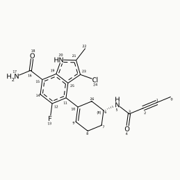 CC#CC(=O)N[C@@H]1CCC=C(c2c(F)cc(C(N)=O)c3[nH]c(C)c(Cl)c23)C1